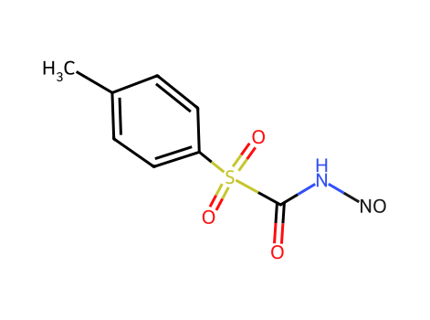 Cc1ccc(S(=O)(=O)C(=O)NN=O)cc1